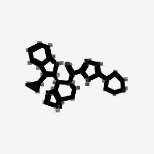 O=C(c1nnc(N2CCOCC2)o1)N1CCc2[nH]cnc2[C@@H]1c1oc2ccccc2c1C1CC1